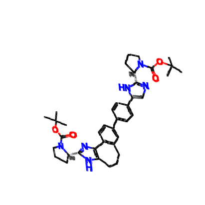 CC(C)(C)OC(=O)N1CCC[C@H]1c1ncc(-c2ccc(-c3ccc4c(c3)CCCc3[nH]c([C@@H]5CCCN5C(=O)OC(C)(C)C)nc3-4)cc2)[nH]1